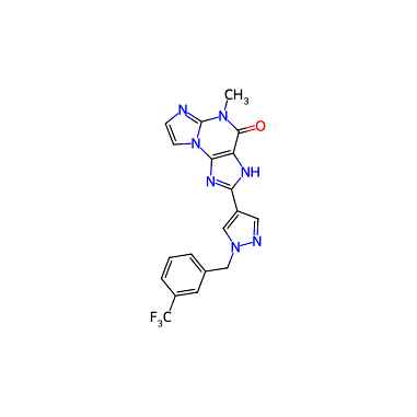 Cn1c(=O)c2[nH]c(-c3cnn(Cc4cccc(C(F)(F)F)c4)c3)nc2n2ccnc12